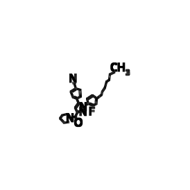 CCCCCCCCc1ccc(-n2nc(C(=O)N3CCCCC3)cc2-c2ccc(C#N)cc2)c(F)c1